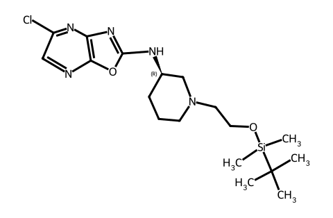 CC(C)(C)[Si](C)(C)OCCN1CCC[C@@H](Nc2nc3nc(Cl)cnc3o2)C1